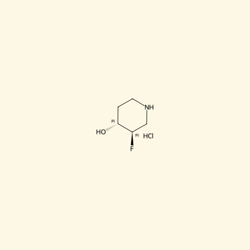 Cl.O[C@@H]1CCNC[C@H]1F